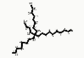 CCCCCCCCCCC(CCCI)(CCCCCCCC)CCCCCCCC